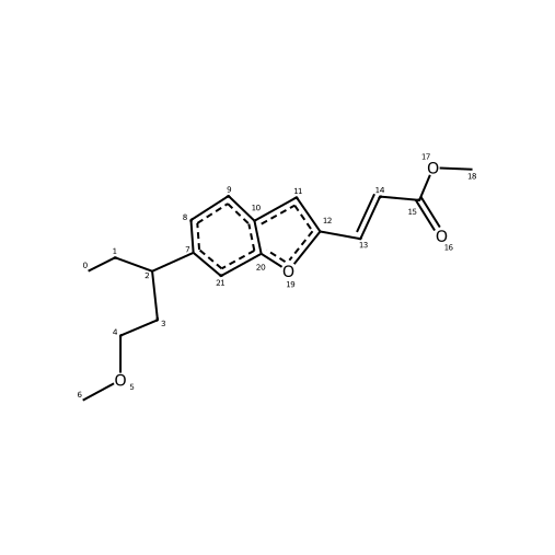 CCC(CCOC)c1ccc2cc(/C=C/C(=O)OC)oc2c1